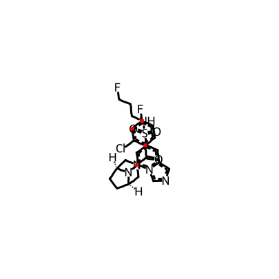 O=C(c1ccc(F)cc1Cl)N1C[C@H]2CC[C@@H](C1)N2c1cc(S(=O)(=O)NCCCF)cc2cncn12